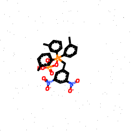 Cc1cccc(P(Cc2cc([N+](=O)[O-])cc([N+](=O)[O-])c2)(OP(=O)(O)O)(c2cccc(C)c2)c2cccc(C)c2)c1